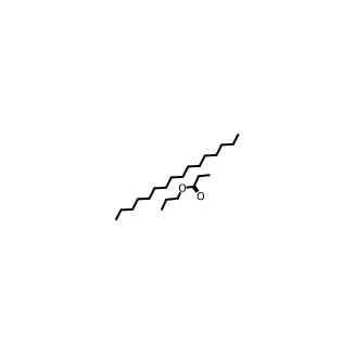 CCCCCCCCCCCCCCCC.CCCOC(=O)CC